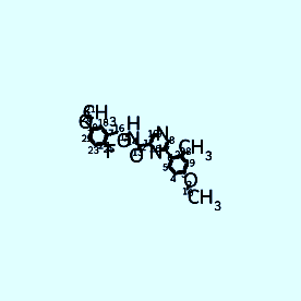 CCOc1ccc(-c2cncc(C(=O)NOCc3cc(OC)ccc3F)n2)c(C)c1